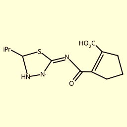 CC(C)C1N[N]C(=NC(=O)C2=C(C(=O)O)CCC2)S1